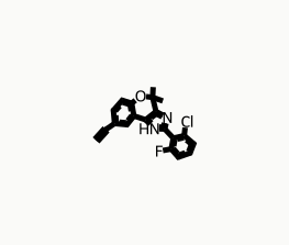 C#Cc1ccc2c(c1)-c1[nH]c(-c3c(F)cccc3Cl)nc1C(C)(C)O2